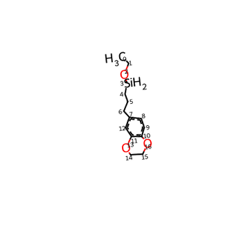 CCO[SiH2]CCCc1ccc2c(c1)OCCO2